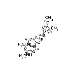 CCOC(=O)[C@@H](C)N[PH](=S)OC[C@]1(F)C[C@H](C)[C@H](n2cnc3c(NC)nc(N)nc32)O1